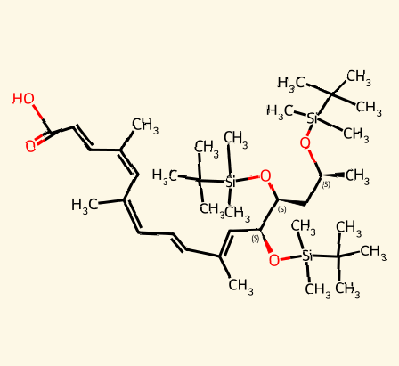 CC(=CC=CC(C)=C[C@H](O[Si](C)(C)C(C)(C)C)[C@H](C[C@H](C)O[Si](C)(C)C(C)(C)C)O[Si](C)(C)C(C)(C)C)C=C(C)C=CC(=O)O